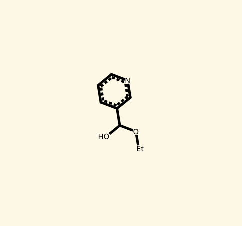 CCOC(O)c1cccnc1